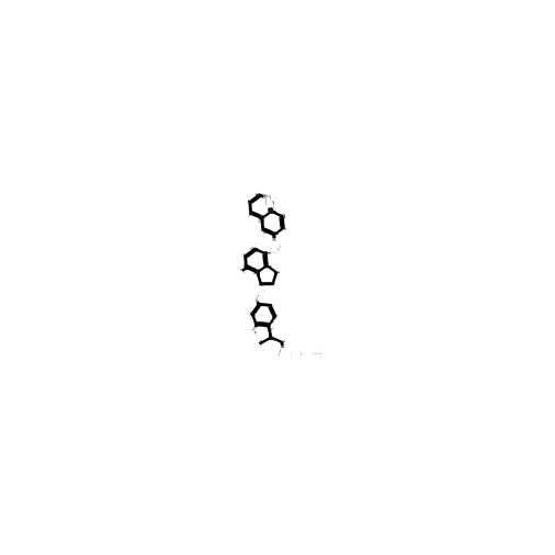 O=C(O)CC1COc2cc(O[C@@H]3CCc4c(Oc5ccc6ncccc6c5)ccc(F)c43)ccc21